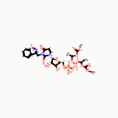 CC(C)OC(=O)OC(OP(=O)(OC(OC(=O)OC(C)C)C(C)C)OP(=O)(O)OC[C@H]1O[C@@H](n2ccc(=O)n(Cc3noc4ccccc34)c2=O)[C@@H](O)C1O)C(C)C